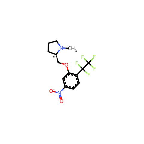 CN1CCC[C@@H]1COc1cc([N+](=O)[O-])ccc1C(F)(F)C(F)(F)F